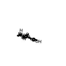 CCc1cc(Nc2ncnc3cc(OCCCN4CCC(CO)CC4)c(OC)cc23)[nH]n1